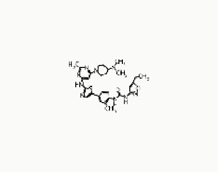 CCc1cc(NC(=O)Nc2ccc(-c3cnc(Nc4cc(N5CCC(N(C)C)CC5)nc(C)n4)s3)cc2C)no1